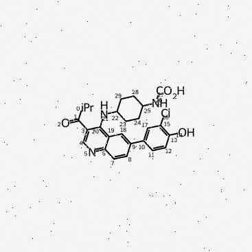 CC(C)C(=O)c1cnc2ccc(-c3ccc(O)c(Cl)c3)cc2c1NC1CCC(NC(=O)O)CC1